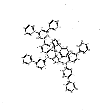 c1ccc(-c2cccc(N3c4ccc(-c5nc(-c6ccccc6)nc(-c6ccccc6)n5)cc4C4(c5ccccc5-c5ccccc54)c4cc(N(c5ccc(-c6cccnc6)cc5)c5ccc(-c6cccnc6)cc5)ccc43)c2)cc1